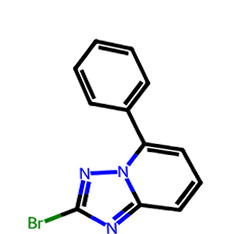 Brc1nc2cccc(-c3ccccc3)n2n1